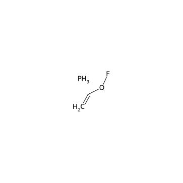 C=COF.P